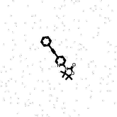 CC1(C)OC(=O)N(c2ccc(C#Cc3ccccc3)cn2)C1(C)C